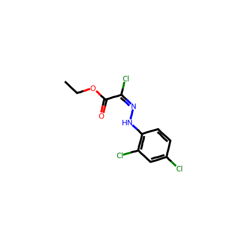 CCOC(=O)/C(Cl)=N\Nc1ccc(Cl)cc1Cl